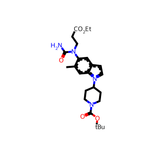 CCOC(=O)CCN(C(N)=O)c1cc2ccn(C3CCN(C(=O)OC(C)(C)C)CC3)c2cc1C